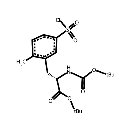 Cc1ccc(S(=O)(=O)Cl)cc1C[C@H](NC(=O)OC(C)(C)C)C(=O)OC(C)(C)C